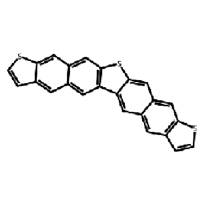 c1cc2cc3cc4c(cc3cc2s1)sc1cc2cc3sccc3cc2cc14